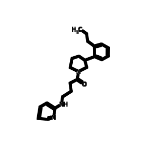 CCCc1ccccc1C1CCCN(C(=O)CCCNc2ccccn2)C1